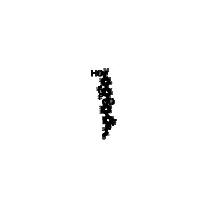 C=CCOc1ccc(-c2ccc(OC(=O)c3ccc(-c4ccc(C(C)O)cc4)c(F)c3F)cc2)cc1F